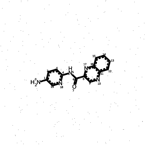 Nc1ccc(NC(=O)c2cnc3ccccc3n2)nc1